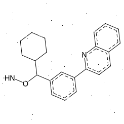 [NH]OC(c1cccc(-c2ccc3ccccc3n2)c1)C1CCCCC1